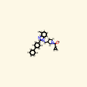 Cc1cccc2c1nc(-c1ccc(-c3ccccc3)cc1)n2CC1CCN(C(=O)C2CC2)C1